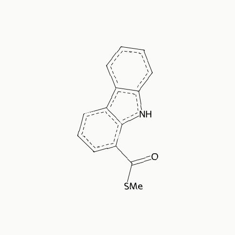 CSC(=O)c1cccc2c1[nH]c1ccccc12